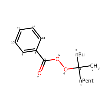 CCCCCC(C)(CCCC)OOC(=O)c1ccccc1